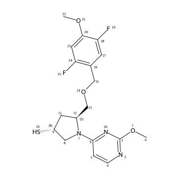 COc1nccc(N2C[C@H](S)C[C@H]2COCc2cc(F)c(OC)cc2F)n1